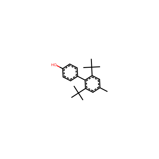 Cc1cc(C(C)(C)C)c(-c2ccc(O)cc2)c(C(C)(C)C)c1